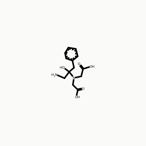 NCC(O)(Cc1ccccc1)N(CC(=O)O)CC(=O)O